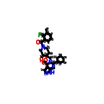 Cc1cccc(C(=O)N2CCC(O)(Cn3c(-c4ccccc4)nc4[nH]ncc4c3=O)CC2)c1F